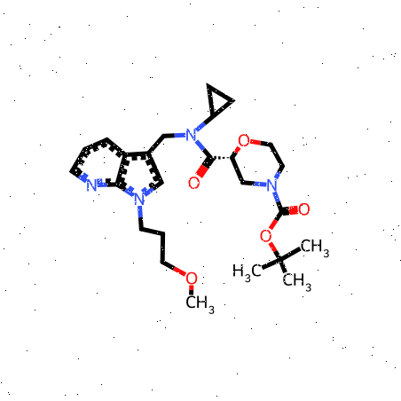 COCCCn1cc(CN(C(=O)[C@H]2CN(C(=O)OC(C)(C)C)CCO2)C2CC2)c2cccnc21